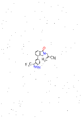 C=C(C#N)CN1Cc2c(cccc2-c2ccc3[nH]nc(C(F)(F)F)c3c2)C1=O